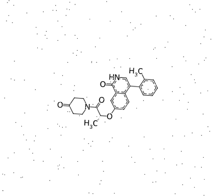 Cc1ccccc1-c1c[nH]c(=O)c2cc(O[C@H](C)C(=O)N3CCC(=O)CC3)ccc12